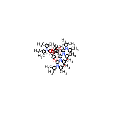 Cc1cc(C)cc(N(c2cc(C)cc(C)c2)c2cc3c4c(c2)Oc2cc5c(cc2B4c2cc(C(C)(C)C)ccc2O3)B2c3cc4c(cc3N(c3cc(C)cc(C)c3)c3cc(N(c6cc(C)cc(C)c6)c6cc(C)cc(C)c6)cc(c32)O5)N(c2cc(C)cc(C)c2)c2cc(N(c3cc(C)cc(C)c3)c3cc(C)cc(C)c3)cc3c2B4c2cc(C(C)(C)C)ccc2O3)c1